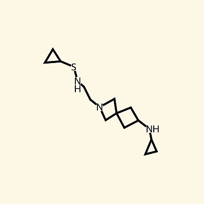 C(CN1CC2(CC(NC3CC3)C2)C1)NSC1CC1